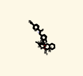 C[C@H]1C2[C@@]1(C(=O)N1CC[C@@H]3CCCCC3C1)SC(N)=N[C@@]21Cc2ccc(/C=C(\F)c3ccc(C#N)cn3)cc21